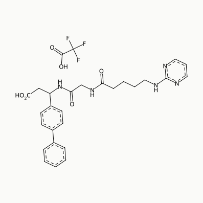 O=C(O)C(F)(F)F.O=C(O)CC(NC(=O)CNC(=O)CCCCNc1ncccn1)c1ccc(-c2ccccc2)cc1